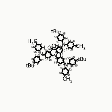 Cc1ccc(N(c2ccc(C(C)(C)C)cc2)c2ccc3c(c2)C(C)(C)c2cc(N(c4ccc(C)cc4)c4ccc(C(C)(C)C)cc4)cc4c5cc(N(c6ccc(C)cc6)c6ccc(C(C)(C)C)cc6)ccc5n-3c24)cc1